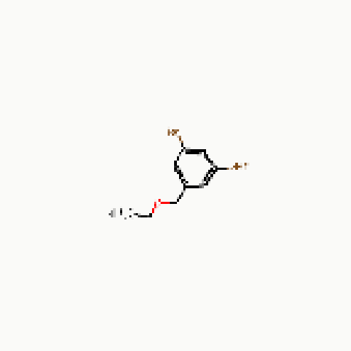 [CH2]COCc1cc(Br)cc(Br)c1